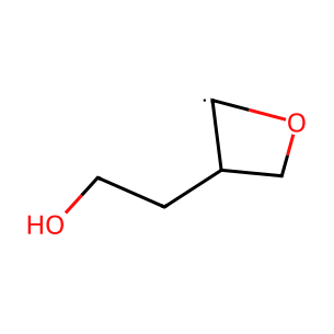 OCCC1[CH]OC1